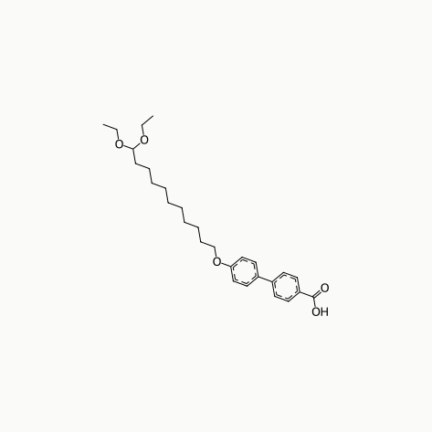 CCOC(CCCCCCCCCCOc1ccc(-c2ccc(C(=O)O)cc2)cc1)OCC